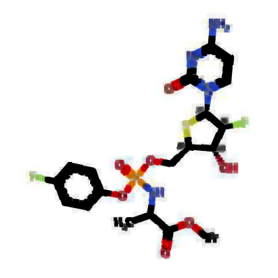 CC(C)OC(=O)C(C)NP(=O)(OC[C@H]1S[C@@H](n2ccc(N)nc2=O)[C@@H](F)[C@@H]1O)Oc1ccc(F)cc1